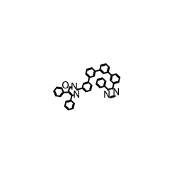 c1ccc(-c2nccnc2-c2cccc(-c3cccc(-c4cccc(-c5cccc(-c6nc(-c7ccccc7)c7c(n6)oc6ccccc67)c5)c4)c3)c2)cc1